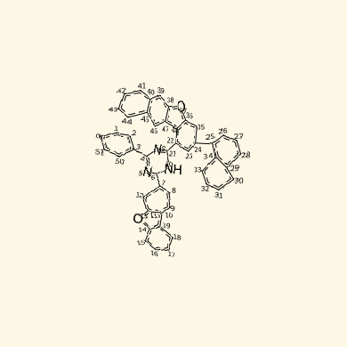 c1ccc(C2=NC(c3ccc4c(c3)oc3ccccc34)NC(c3cc(-c4cccc5ccccc45)cc4oc5cc6ccccc6cc5c34)=N2)cc1